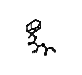 C=CC(=O)OC(CCC)C(=O)OC1(C)C2CC3CC(C2)CC1C3